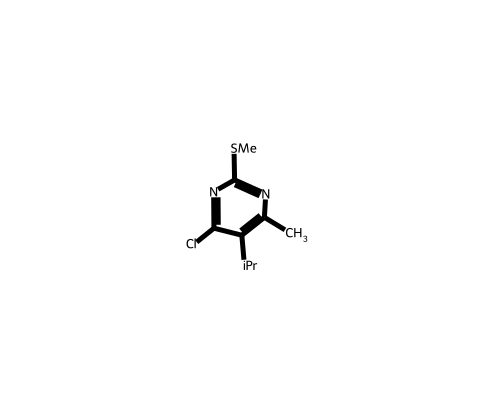 CSc1nc(C)c(C(C)C)c(Cl)n1